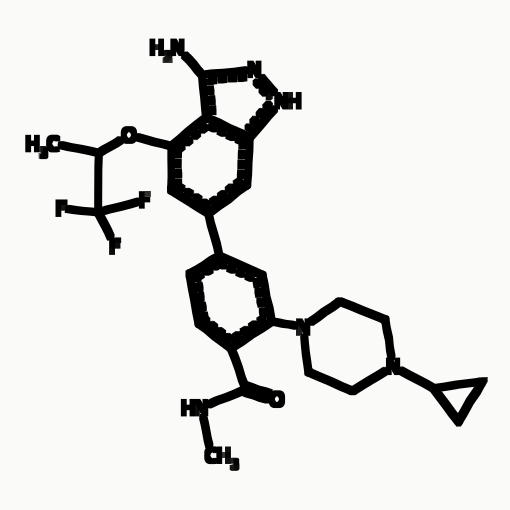 CNC(=O)c1ccc(-c2cc(OC(C)C(F)(F)F)c3c(N)n[nH]c3c2)cc1N1CCN(C2CC2)CC1